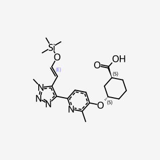 Cc1nc(-c2nnn(C)c2/C=C/O[Si](C)(C)C)ccc1O[C@H]1CCC[C@H](C(=O)O)C1